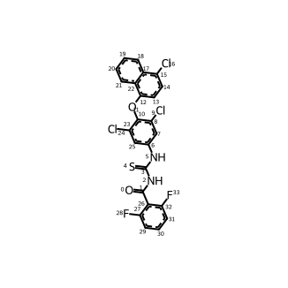 O=C(NC(=S)Nc1cc(Cl)c(Oc2ccc(Cl)c3ccccc23)c(Cl)c1)c1c(F)cccc1F